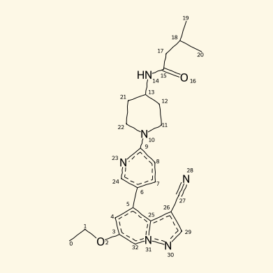 CCOc1cc(-c2ccc(N3CCC(NC(=O)CC(C)C)CC3)nc2)c2c(C#N)cnn2c1